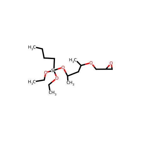 CCCC[Si](OCC)(OCC)OC(C)CC(C)OCC1CO1